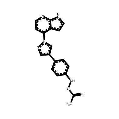 O=C(ONc1ccc(-c2cnn(-c3ccnc4[nH]ccc34)c2)cc1)C(F)(F)F